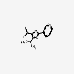 CC(C)c1oc(-c2cccnc2)nc1C(F)F